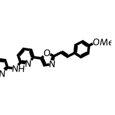 COc1ccc(/C=C/c2ncc(-c3cccc(Nc4cc(C)ccn4)n3)o2)cc1